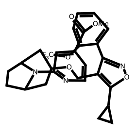 COC(=O)c1ccnc(N2C3CCC2CC(OCc2c(-c4ccccc4OC(F)(F)F)noc2C2CC2)C3)c1